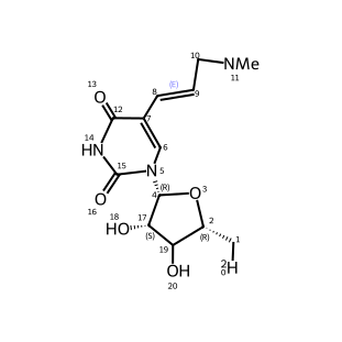 [2H]C[C@H]1O[C@@H](n2cc(/C=C/CNC)c(=O)[nH]c2=O)[C@@H](O)C1O